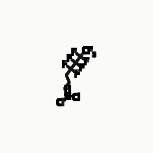 FC(F)(F)C(F)(F)C(F)(F)C(F)(F)CCC[SiH](Cl)Cl